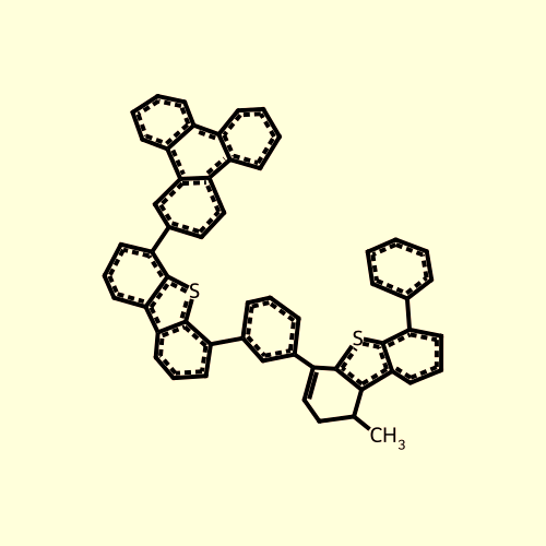 CC1CC=C(c2cccc(-c3cccc4c3sc3c(-c5ccc6c7ccccc7c7ccccc7c6c5)cccc34)c2)c2sc3c(-c4ccccc4)cccc3c21